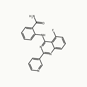 NC(=O)c1ccccc1Nc1nc(-c2cccnc2)nc2cccc(F)c12